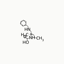 CCC[C@](C)(CNCc1ccccc1)NC(=O)O